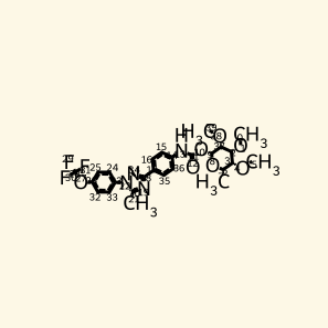 CO[C@@H]1[C@@H](OC)[C@H](C)O[C@H](OC(=O)Nc2ccc(-c3nc(C)n(-c4ccc(OC(F)(F)F)cc4)n3)cc2)[C@@H]1OC